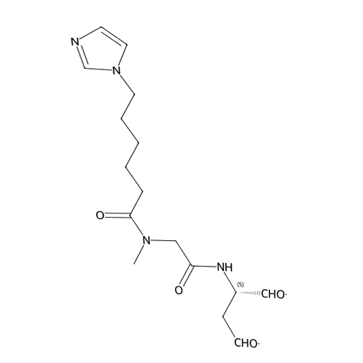 CN(CC(=O)N[C@H]([C]=O)C[C]=O)C(=O)CCCCCn1ccnc1